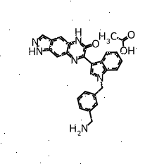 CC(=O)O.NCc1cccc(Cn2cc(-c3nc4cc5[nH]ncc5cc4[nH]c3=O)c3ccccc32)c1